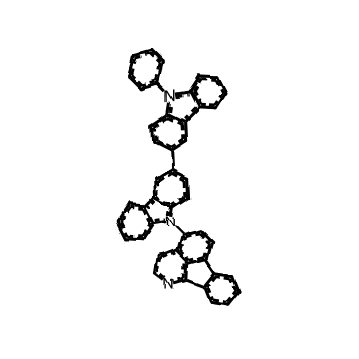 c1ccc(-n2c3ccccc3c3cc(-c4ccc5c(c4)c4ccccc4n5-c4ccc5c6c(nccc46)-c4ccccc4-5)ccc32)cc1